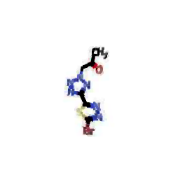 CC(=O)Cn1nnc(-c2nnc(Br)s2)n1